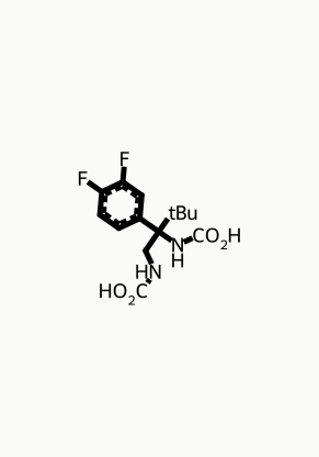 CC(C)(C)C(CNC(=O)O)(NC(=O)O)c1ccc(F)c(F)c1